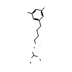 CCOC(OCC)O[SiH2]CCCCc1cc(F)cc(F)c1